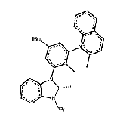 Cc1c(N2c3ccccc3N(C(C)C)[C@H]2C)cc(C(C)(C)C)cc1-[n+]1c(C)ccc2ccccc21